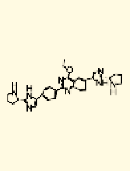 CCOc1nc(-c2ccc(-c3cnc([C@@H]4CCCN4)[nH]3)cc2)nc2ccc(-c3cnc([C@@H]4CCCN4)[nH]3)cc12